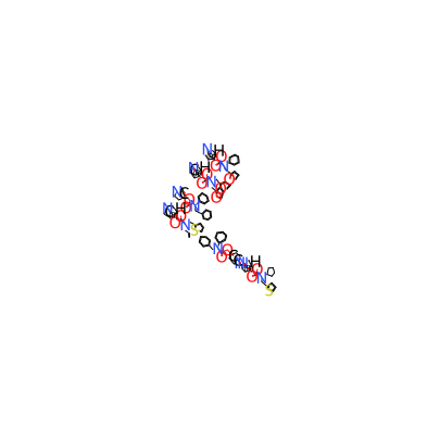 C=CCN(Cc1cccs1)C(=O)O[C@H]1CN2CCC1CC2.O=C(OC12CCN(CC1)C2)N(Cc1ccccc1)c1ccccc1.O=C(OC12CCN(CC1)CC2)N(Cc1ccccc1)c1ccccc1.O=C(O[C@H]1CN2CCC1CC2)N(Cc1ccco1)Cc1ccco1.O=C(O[C@H]1CN2CCC1CC2)N(Cc1ccco1)c1ccccc1.O=C(O[C@H]1CN2CCC1CC2)N(Cc1cccs1)C1CCCC1